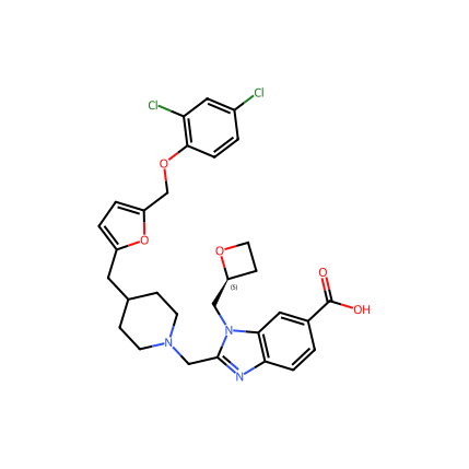 O=C(O)c1ccc2nc(CN3CCC(Cc4ccc(COc5ccc(Cl)cc5Cl)o4)CC3)n(C[C@@H]3CCO3)c2c1